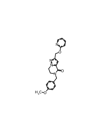 COc1ccc(CN2CCn3nc(COc4ccccn4)cc3C2=O)cc1